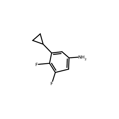 Nc1cc(F)c(F)c(C2CC2)c1